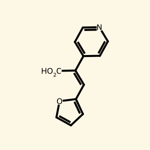 O=C(O)C(=Cc1ccco1)c1ccncc1